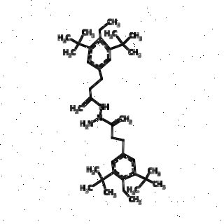 C=C(CCc1cc(C(C)(C)C)c(CC)c(C(C)(C)C)c1)NN(N)C(=C)CCc1cc(C(C)(C)C)c(CC)c(C(C)(C)C)c1